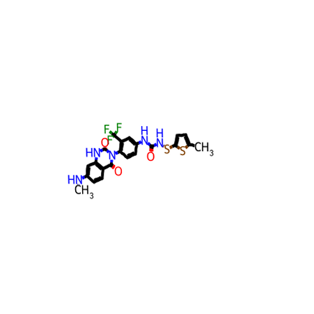 CNc1ccc2c(=O)n(-c3ccc(NC(=O)NSc4ccc(C)s4)cc3C(F)(F)F)c(=O)[nH]c2c1